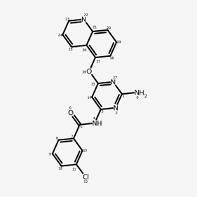 Nc1nc(NC(=O)c2cccc(Cl)c2)cc(Oc2cccc3ncccc23)n1